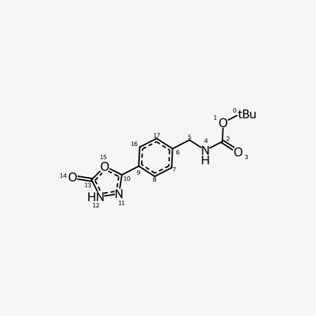 CC(C)(C)OC(=O)NCc1ccc(-c2n[nH]c(=O)o2)cc1